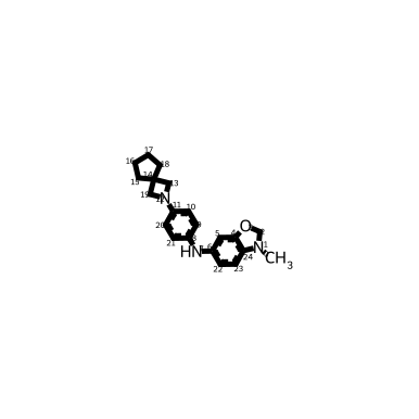 CN1COc2cc(Nc3ccc(N4CC5(CCCC5)C4)cc3)ccc21